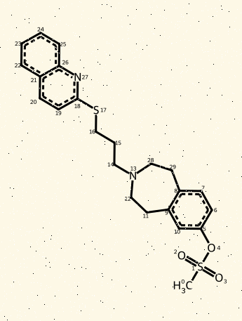 CS(=O)(=O)Oc1ccc2c(c1)CCN(CCCSc1ccc3ccccc3n1)CC2